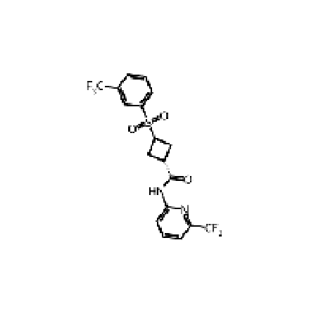 O=C(Nc1cccc(C(F)(F)F)n1)[C@H]1C[C@H](S(=O)(=O)c2cccc(C(F)(F)F)c2)C1